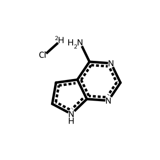 Nc1ncnc2[nH]ccc12.[2H]Cl